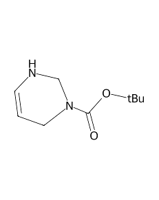 CC(C)(C)OC(=O)N1CC=CNC1